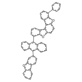 c1ccc(-c2cccc3c2oc2ccc4oc5c(-c6c7ccccc7c(-c7ccc8c(c7)oc7ccccc78)c7ccccc67)cccc5c4c23)cc1